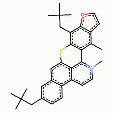 Cc1c2c(c(CC(C)(C)C)c3occc13)Sc1cc3cc(CC(C)(C)C)ccc3c3cc[n+](C)c-2c13